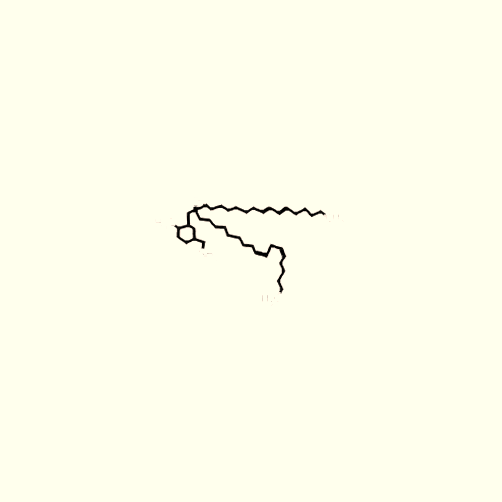 CCCCC/C=C\C/C=C\CCCCCCCCC(C)(CCCCCCC/C=C/C=C/CCCCC)CC1CC(CN)CCC1C